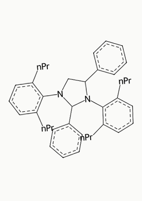 CCCc1cccc(CCC)c1N1CC(c2ccccc2)N(c2c(CCC)cccc2CCC)C1c1ccccc1